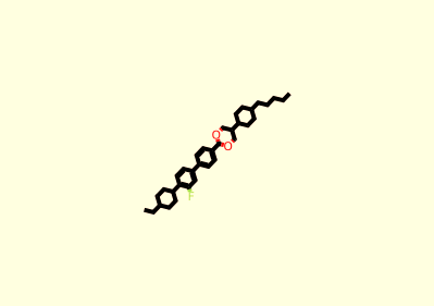 CCCCCC1CCC(C2COC(c3ccc(-c4ccc(C5CCC(CC)CC5)c(F)c4)cc3)OC2)CC1